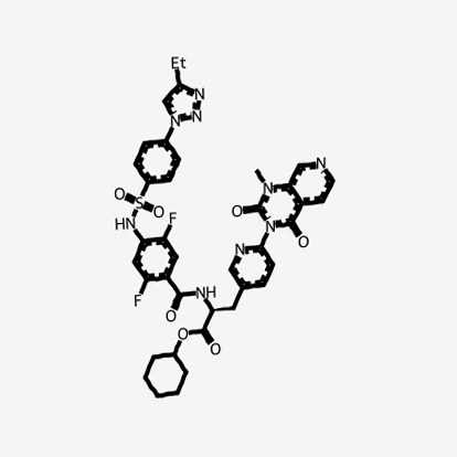 CCc1cn(-c2ccc(S(=O)(=O)Nc3cc(F)c(C(=O)N[C@@H](Cc4ccc(-n5c(=O)c6ccncc6n(C)c5=O)nc4)C(=O)OC4CCCCC4)cc3F)cc2)nn1